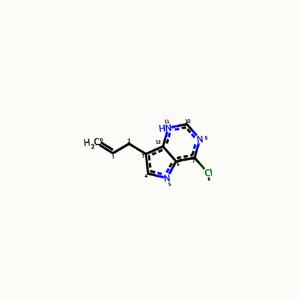 C=CCc1cnc2c(Cl)nc[nH]c1-2